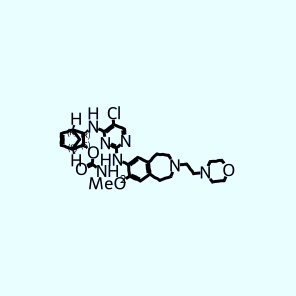 COc1cc2c(cc1Nc1ncc(Cl)c(N[C@H]3[C@@H](OC(N)=O)[C@@H]4C=C[C@H]3C4)n1)CCN(CCN1CCOCC1)CC2